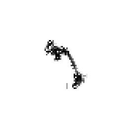 C#Cc1c(F)ccc2cc(O)cc(-c3ncc4c(N5CC6CCC(C5)N6)nc(OC5CCN(CCCCCCCCCCCCCC(=O)NC(C(=O)N6CC[C@@H](O)C6)C(C)(C)C)CC5)nc4c3F)c12